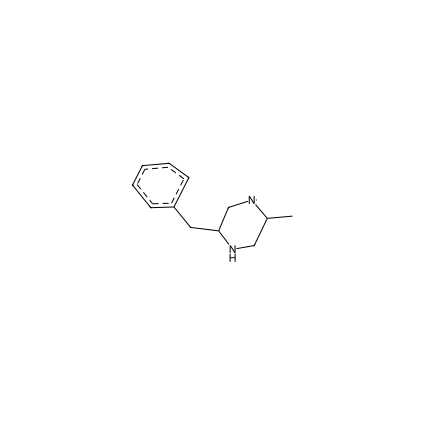 CC1CNC(Cc2ccccc2)C[N]1